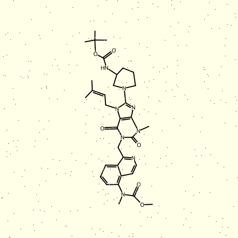 COC(=O)N(C)c1cccc2c(Cn3c(=O)c4c(nc(N5CCCC(NC(=O)OC(C)(C)C)C5)n4CC=C(C)C)n(C)c3=O)nccc12